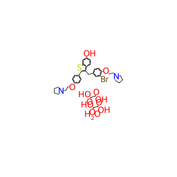 O.O=C(O)C(=O)O.O=C(O)C(=O)O.Oc1ccc2c(Cc3ccc(OCCN4CCCC4)c(Br)c3)c(-c3ccc(OCCN4CCCC4)cc3)sc2c1